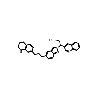 O=C(O)C[C@@H](c1cnc2ccccc2c1)n1cc2cc(CCCc3ccc4c(n3)NCCC4)ccc2n1